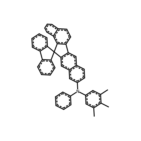 Cc1cc(N(c2ccccc2)c2ccc3cc4c(cc3c2)C2(c3ccccc3-c3ccccc32)c2c-4ccc3ccccc23)cc(C)c1C